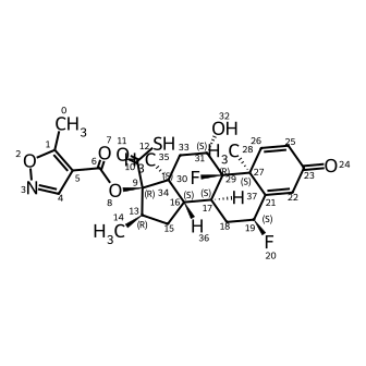 Cc1oncc1C(=O)O[C@]1(C(=O)S)[C@H](C)C[C@H]2[C@@H]3C[C@H](F)C4=CC(=O)C=C[C@]4(C)[C@@]3(F)[C@@H](O)C[C@@]21C